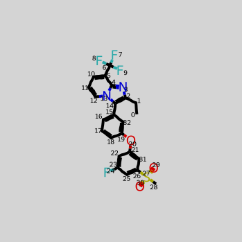 CCc1nc2c(C(F)(F)F)cccn2c1-c1cccc(Oc2cc(F)cc(S(C)(=O)=O)c2)c1